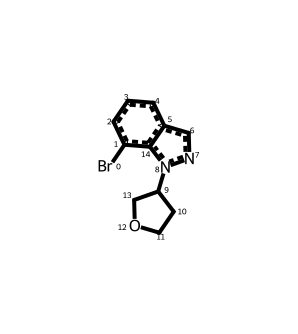 Brc1cccc2cnn(C3CCOC3)c12